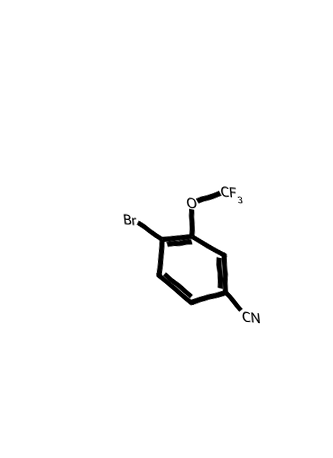 N#Cc1ccc(Br)c(OC(F)(F)F)c1